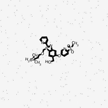 CCS(=O)(=O)c1ccc(Oc2cc3nc(-c4ccccn4)n(COCC[Si](C)(C)C)c3cc2CO)cn1